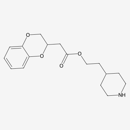 O=C(CC1COc2ccccc2O1)OCCC1CCNCC1